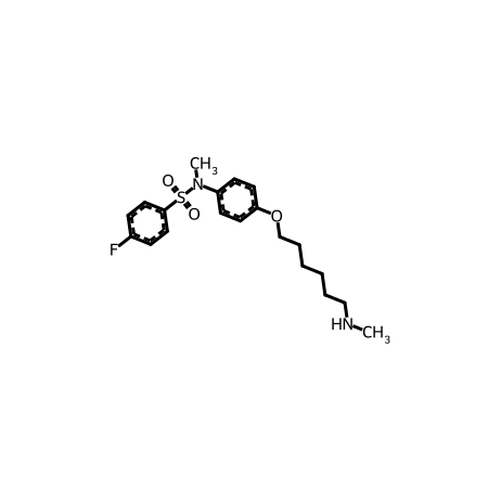 CNCCCCCCOc1ccc(N(C)S(=O)(=O)c2ccc(F)cc2)cc1